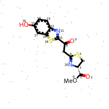 COC(=O)[C@H]1CSC(CC(=O)c2nc3ccc(O)cc3s2)=N1